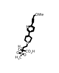 COCC#Cc1ccc(C2=CCN(CCC(C)(C(=O)O)S(C)(=O)=O)CC2)cn1